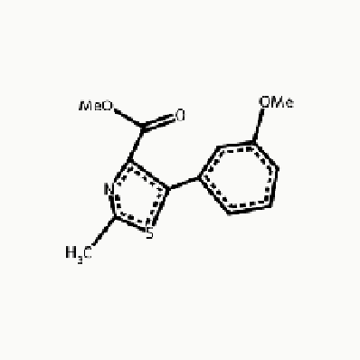 COC(=O)c1nc(C)sc1-c1cccc(OC)c1